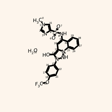 Cn1cnc(S(=O)(=O)NC2=CC3=C(O)N(c4ccc(OC(F)(F)F)cc4)NN3c3ccccc32)c1.O